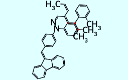 C\C=C/C(/C=N\N(c1ccccc1)c1ccc(C=C2c3ccccc3-c3ccccc32)cc1)=C\C(=C(C)C)c1ccccc1C